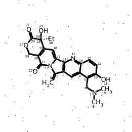 C=c1c2cc3c(CN(C)C)c(O)ccc3nc2c2cc3c(c(=O)n12)COC(=O)[C@]3(O)CC